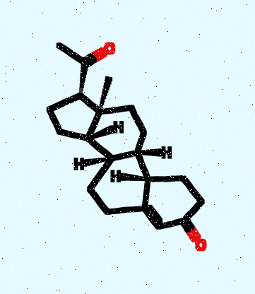 CC(=O)[C@H]1CC[C@H]2[C@@H]3CCC4=CC(=O)CC[C@H]4[C@H]3CC[C@]12C